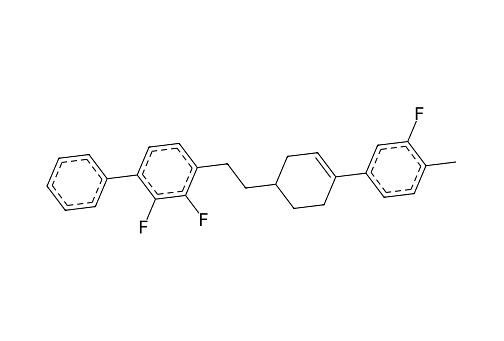 Cc1ccc(C2=CCC(CCc3ccc(-c4ccccc4)c(F)c3F)CC2)cc1F